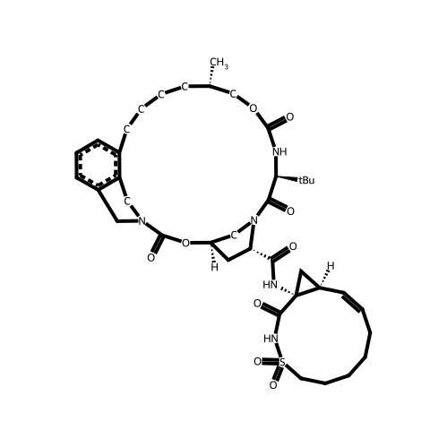 C[C@H]1CCCCc2cccc3c2CN(C3)C(=O)O[C@@H]2C[C@@H](C(=O)N[C@]34C[C@H]3/C=C\CCCCCS(=O)(=O)NC4=O)N(C2)C(=O)[C@H](C(C)(C)C)NC(=O)OC1